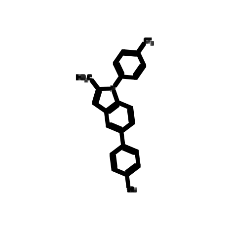 CC(C)(C)c1ccc(-c2ccc3c(c2)cc(C(=O)O)n3-c2ccc(C(F)(F)F)cc2)cc1